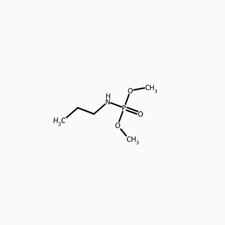 CCCNP(=O)(OC)OC